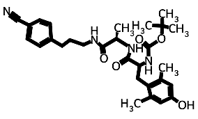 Cc1cc(O)cc(C)c1CC(NC(=O)OC(C)(C)C)C(=O)N[C@H](C)C(=O)NCCCc1ccc(C#N)cc1